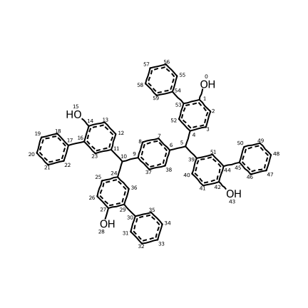 Oc1ccc(C(c2ccc(C(c3ccc(O)c(-c4ccccc4)c3)c3ccc(O)c(-c4ccccc4)c3)cc2)c2ccc(O)c(-c3ccccc3)c2)cc1-c1ccccc1